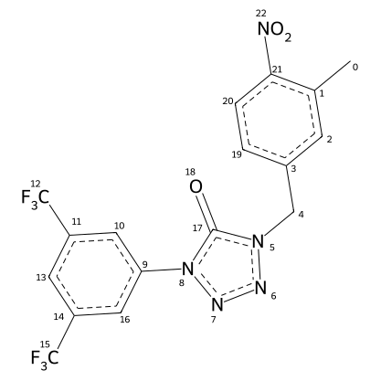 Cc1cc(Cn2nnn(-c3cc(C(F)(F)F)cc(C(F)(F)F)c3)c2=O)ccc1[N+](=O)[O-]